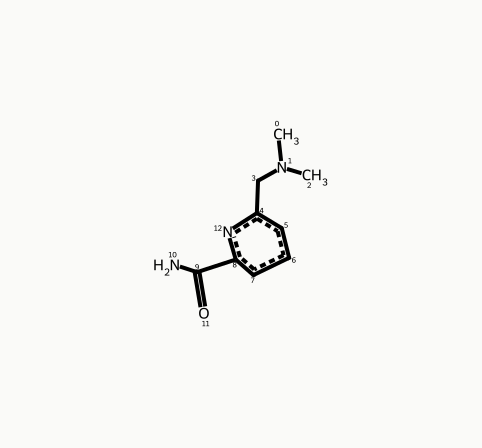 CN(C)Cc1cccc(C(N)=O)n1